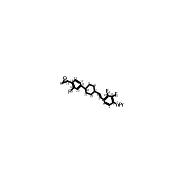 CCCc1ccc(/C=C/C2CCC(c3ccc(C4CO4)c(F)c3)CC2)c(F)c1F